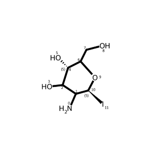 NC1C(O)[C@H](O)C(CO)O[C@H]1I